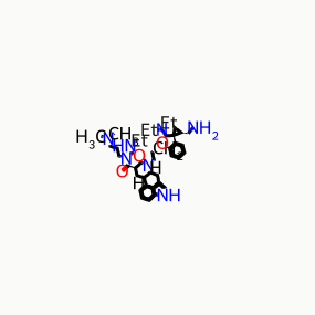 C=CCN1C[C@H](C(=O)N(CCCN(C)C)C(=O)NCC)C[C@@H]2c3cccc4[nH]cc(c34)C[C@H]21.CCN(CC)C(=O)[C@]1(c2ccccc2)C[C@@H]1CN